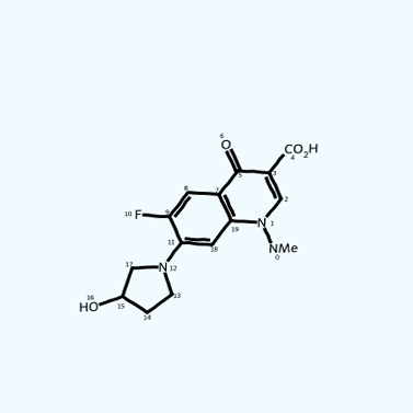 CNn1cc(C(=O)O)c(=O)c2cc(F)c(N3CCC(O)C3)cc21